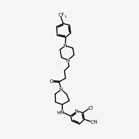 N#Cc1ccc(NC2CCN(C(=O)CCCN3CCN(c4ccc(C(F)(F)F)cc4)CC3)CC2)nc1Cl